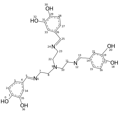 Oc1ccc(/C=N/CCN(CC/N=C/c2ccc(O)c(O)c2)CC/N=C/c2ccc(O)c(O)c2)cc1O